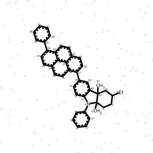 CCC1CCC2(C)N(c3ccccc3)c3ccc(-c4ccc5ccc6c(-c7ccccc7)ccc7ccc4c5c76)cc3C2(C)C1